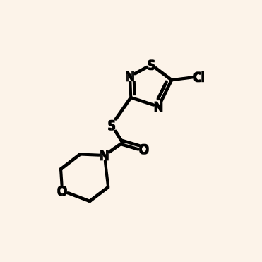 O=C(Sc1nsc(Cl)n1)N1CCOCC1